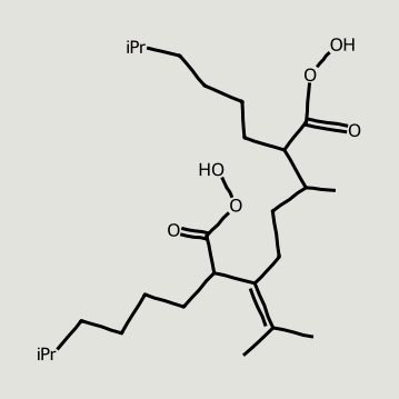 CC(C)=C(CCC(C)C(CCCCC(C)C)C(=O)OO)C(CCCCC(C)C)C(=O)OO